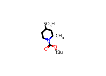 C.CC(C)(C)OC(=O)N1CCC(S(=O)(=O)O)CC1